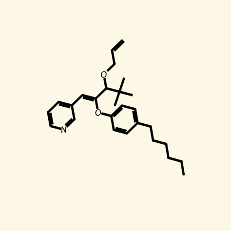 C=CCOC(C(=Cc1cccnc1)Oc1ccc(CCCCCC)cc1)C(C)(C)C